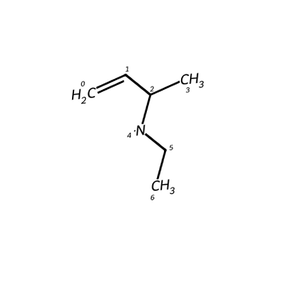 C=CC(C)[N]CC